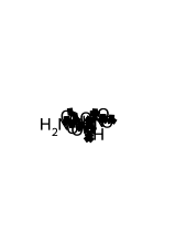 CCCC(NC(=O)[C@@H]1C2C(CN1C(=O)[C@@H](NC(=O)OC(C)C)C(C)(C)C)C2(C)C)C(=O)C(N)=O